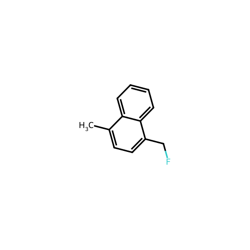 Cc1ccc(CF)c2ccccc12